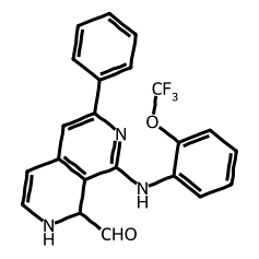 O=CC1NC=Cc2cc(-c3ccccc3)nc(Nc3ccccc3OC(F)(F)F)c21